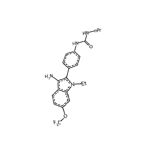 CCCNC(=O)Nc1ccc(-c2c(N)c3ccc(OC(F)(F)F)cc3n2CC)cc1